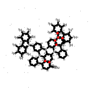 [2H]c1c([2H])c([2H])c2c(c1[2H])c1c([2H])c([2H])c([2H])c([2H])c1n2-c1ccc2c(c1)N(c1ccccc1-c1ccc(C(C)(C)C)cc1)c1cc(C(C)(C)C)cc3c1B2c1ccc(-n2c4c([2H])c([2H])c([2H])c([2H])c4c4c([2H])c([2H])c([2H])c([2H])c42)cc1N3c1ccccc1-c1ccc(C(C)(C)C)cc1